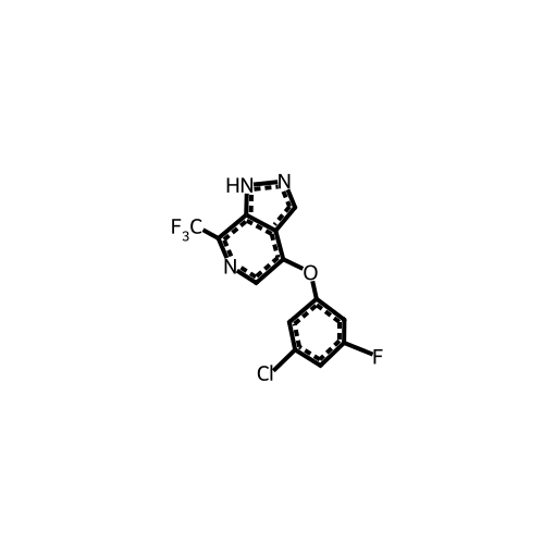 Fc1cc(Cl)cc(Oc2cnc(C(F)(F)F)c3[nH]ncc23)c1